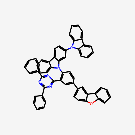 c1ccc(-c2nc(-c3ccccc3)nc(-c3cc(-c4ccc5oc6ccccc6c5c4)ccc3-n3c4ccccc4c4ccc(-n5c6ccccc6c6ccccc65)cc43)n2)cc1